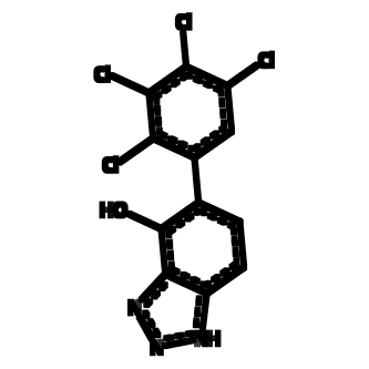 Oc1c(-c2cc(Cl)c(Cl)c(Cl)c2Cl)ccc2[nH]nnc12